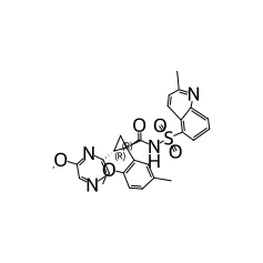 COc1cncc([C@@H]2C[C@]2(C(=O)NS(=O)(=O)c2cccc3nc(C)ccc23)c2cc(C)ccc2OC)n1